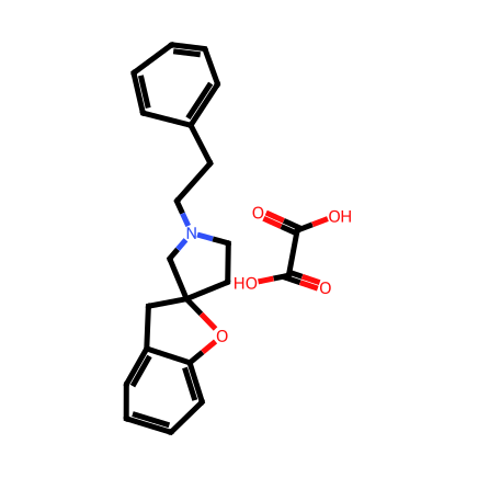 O=C(O)C(=O)O.c1ccc(CCN2CCC3(Cc4ccccc4O3)C2)cc1